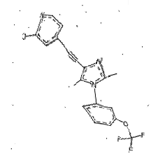 Cc1nc(C#Cc2ccnc(Cl)c2)c(C)n1-c1cccc(OC(F)(F)F)c1